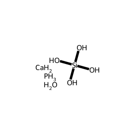 O.O[Si](O)(O)O.P.[CaH2]